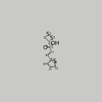 C1CSS1.O=C(O)C=Cc1cccs1